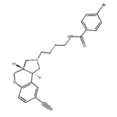 N#Cc1ccc2c(c1)[C@@H]1CN(CCCCNC(=O)c3ccc(Br)cc3)C[C@H]1CO2